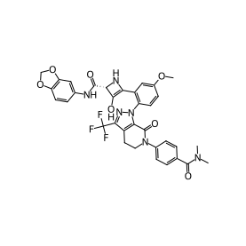 COc1ccc(-n2nc(C(F)(F)F)c3c2C(=O)N(c2ccc(C(=O)N(C)C)cc2)CC3)c(C2=C(O)[C@H](C(=O)Nc3ccc4c(c3)OCO4)N2)c1